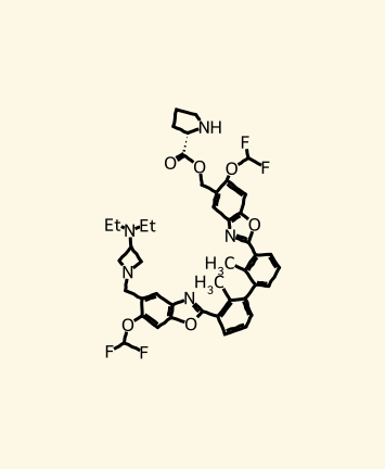 CCN(CC)C1CN(Cc2cc3nc(-c4cccc(-c5cccc(-c6nc7cc(COC(=O)[C@@H]8CCCN8)c(OC(F)F)cc7o6)c5C)c4C)oc3cc2OC(F)F)C1